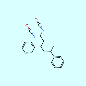 CC(CC(CC(N=C=O)N=C=O)c1ccccc1)c1ccccc1